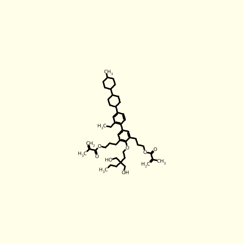 C=C(C)C(=O)OCCCc1cc(-c2ccc(C3CCC(C4CCC(C)CC4)CC3)cc2CC)cc(CCCOC(=O)C(=C)C)c1OCCC(CO)(CO)CCC